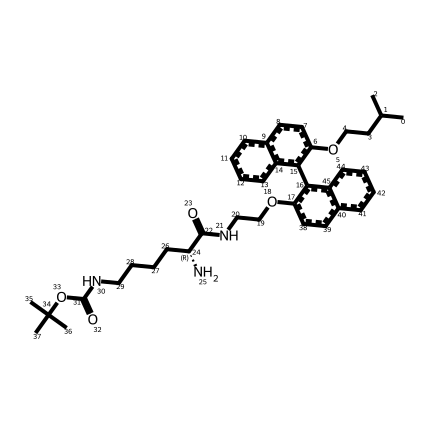 CC(C)CCOc1ccc2ccccc2c1-c1c(OCCNC(=O)[C@H](N)CCCCNC(=O)OC(C)(C)C)ccc2ccccc12